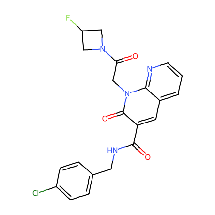 O=C(NCc1ccc(Cl)cc1)c1cc2cccnc2n(CC(=O)N2CC(F)C2)c1=O